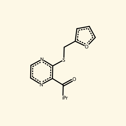 CC(C)C(=O)c1nccnc1SCc1ccco1